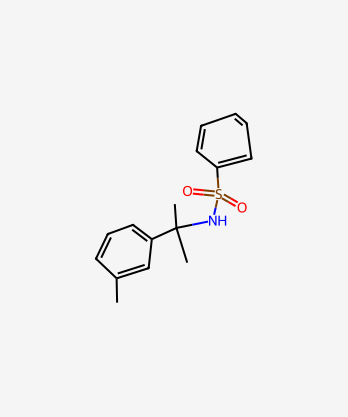 Cc1cccc(C(C)(C)NS(=O)(=O)c2ccccc2)c1